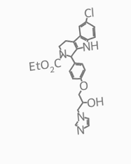 CCOC(=O)N1CCc2c([nH]c3ccc(Cl)cc23)C1c1ccc(OCC(O)Cn2ccnc2)cc1